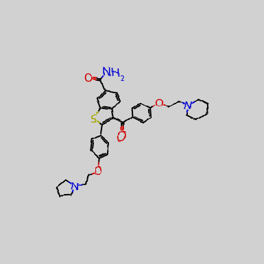 NC(=O)c1ccc2c(C(=O)c3ccc(OCCN4CCCCC4)cc3)c(-c3ccc(OCCN4CCCC4)cc3)sc2c1